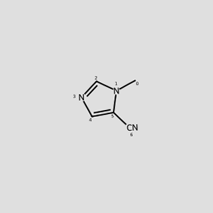 Cn1cncc1C#N